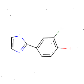 Oc1ccc(-c2ncc[nH]2)cc1Br